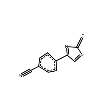 N#Cc1ccc(C2=NC(=O)N=C2)cc1